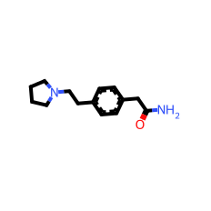 NC(=O)Cc1ccc(CCN2CCCC2)cc1